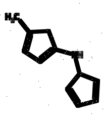 CC1=CC=C(NC2C=CC=C2)C1